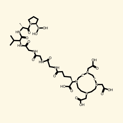 CC(C)[C@H](NC(=O)CNC(=O)CNC(=O)CNC(=O)CCC[C@H](C(=O)O)N1CCN(CC(=O)O)CCN(CC(=O)O)CCN(CC(=O)O)CC1)C(=O)N[C@H](C)C(=O)N1CCC[C@H]1B(O)O